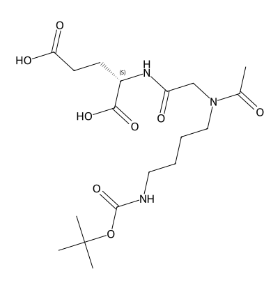 CC(=O)N(CCCCNC(=O)OC(C)(C)C)CC(=O)N[C@@H](CCC(=O)O)C(=O)O